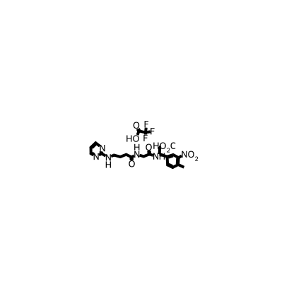 Cc1ccc(C(CC(=O)O)NC(=O)CNC(=O)CCCNc2ncccn2)cc1[N+](=O)[O-].O=C(O)C(F)(F)F